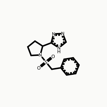 O=S(=O)(Cc1ccccc1)N1CCCC1c1nnc[nH]1